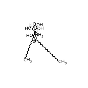 CCCCCCCCCCCCCCCCCCCC(=O)O[C@H](CCCCCCCCCCCCCC)[C@@H](O)[C@@H](N)CO[C@H]1O[C@H](CO)[C@H](O)[C@H](O)[C@H]1O